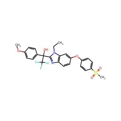 CCn1c(C(O)(c2ccc(OC)cc2)C(F)(F)F)nc2ccc(Oc3ccc(S(C)(=O)=O)cc3)cc21